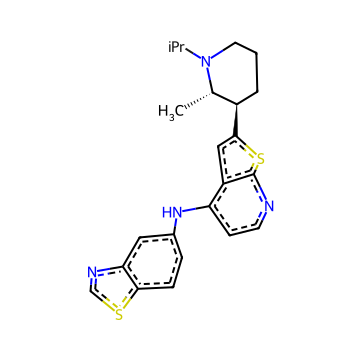 CC(C)N1CCC[C@@H](c2cc3c(Nc4ccc5scnc5c4)ccnc3s2)[C@@H]1C